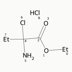 CCOC(=O)C(N)(Cl)CC.Cl